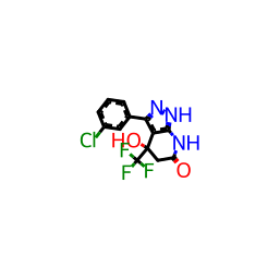 O=C1CC(O)(C(F)(F)F)c2c(-c3cccc(Cl)c3)n[nH]c2N1